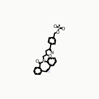 CS(=O)(=O)OCc1ccc(C2=NOC(CN3C(=O)c4ccccc4/C=C\c4ccccc43)C2)cc1